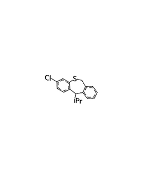 CC(C)C1c2ccccc2CSc2cc(Cl)ccc21